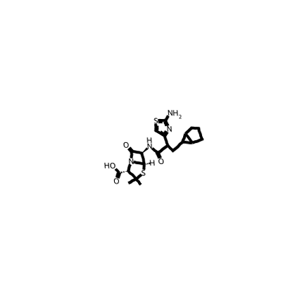 CC1(C)S[C@@H]2[C@H](NC(=O)C(CC3C4CCCC43)c3csc(N)n3)C(=O)N2[C@H]1C(=O)O